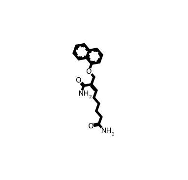 NC(=O)CCCCC=C(COc1cccc2ccccc12)C(N)=O